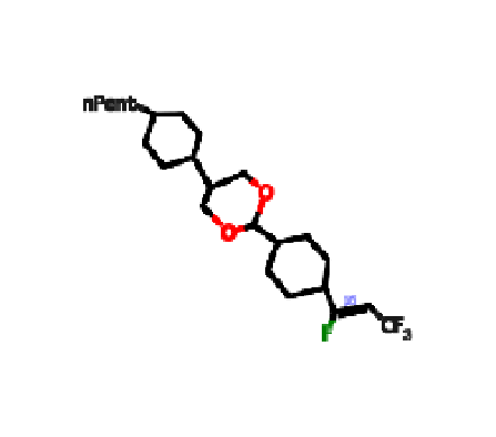 CCCCCC1CCC(C2COC(C3CCC(/C(F)=C/C(F)(F)F)CC3)OC2)CC1